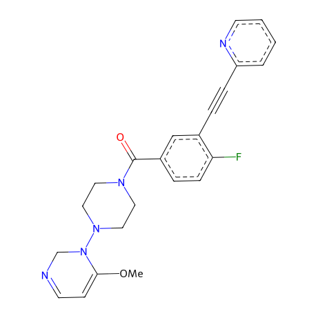 COC1=CC=NCN1N1CCN(C(=O)c2ccc(F)c(C#Cc3ccccn3)c2)CC1